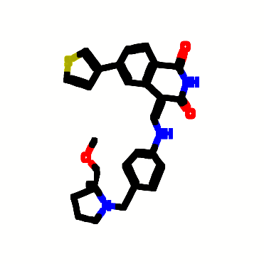 COC[C@H]1CCCN1Cc1ccc(NC=C2C(=O)NC(=O)c3ccc(-c4ccsc4)cc32)cc1